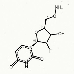 NOC[C@@H]1O[C@H](n2ccc(=O)[nH]c2=O)C(F)C1O